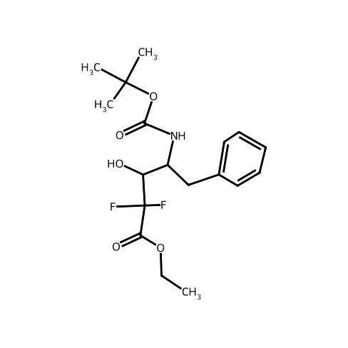 CCOC(=O)C(F)(F)C(O)C(Cc1ccccc1)NC(=O)OC(C)(C)C